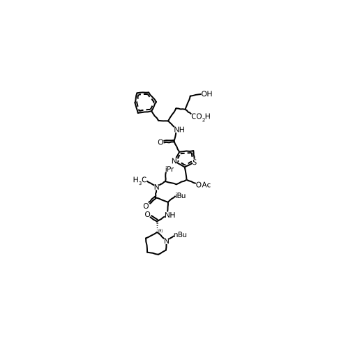 CCCCN1CCCC[C@@H]1C(=O)NC(C(=O)N(C)C(CC(OC(C)=O)c1nc(C(=O)NC(Cc2ccccc2)CC(CO)C(=O)O)cs1)C(C)C)C(C)CC